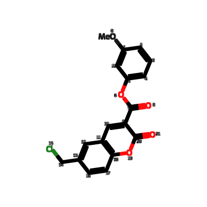 COc1cccc(OC(=O)c2cc3cc(CCl)ccc3oc2=O)c1